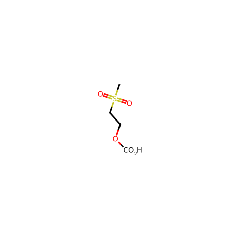 CS(=O)(=O)CCOC(=O)O